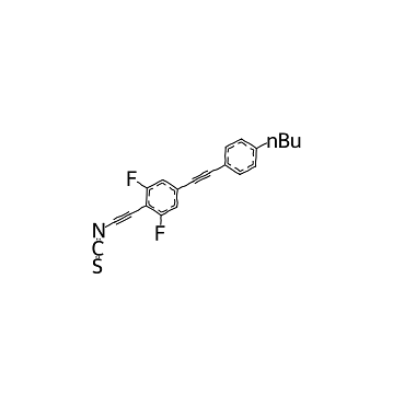 CCCCc1ccc(C#Cc2cc(F)c(C#CN=C=S)c(F)c2)cc1